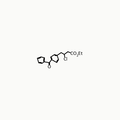 CCOC(=O)CC(Cl)Cc1ccc(C(=O)c2ccccc2)cc1